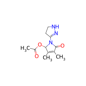 CC(=O)OC1C(C)=C(C)C(=O)N1C1=NNCC1